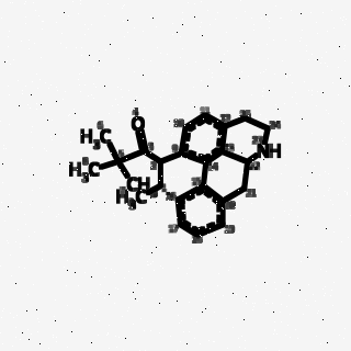 CCC(C(=O)C(C)(C)C)c1ccc2c3c1-c1ccccc1CC3NCC2